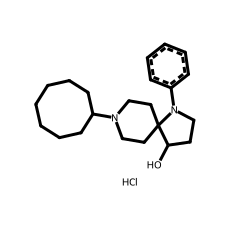 Cl.OC1CCN(c2ccccc2)C12CCN(C1CCCCCCC1)CC2